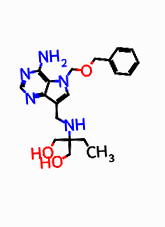 CCC(CO)(CO)NCc1cn(COCc2ccccc2)c2c(N)ncnc12